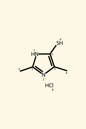 Cc1nc(C)c(S)[nH]1.Cl